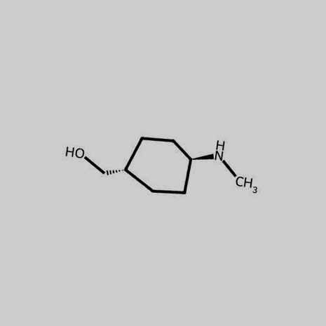 CN[C@H]1CC[C@H](CO)CC1